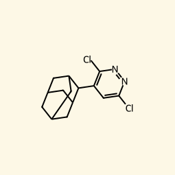 Clc1cc(C2C3CC4CC(C3)CC2C4)c(Cl)nn1